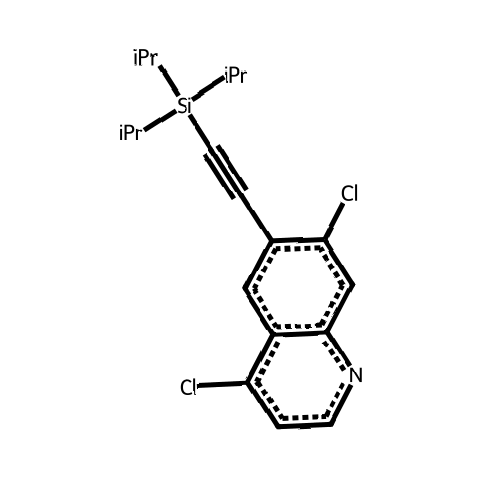 CC(C)[Si](C#Cc1cc2c(Cl)ccnc2cc1Cl)(C(C)C)C(C)C